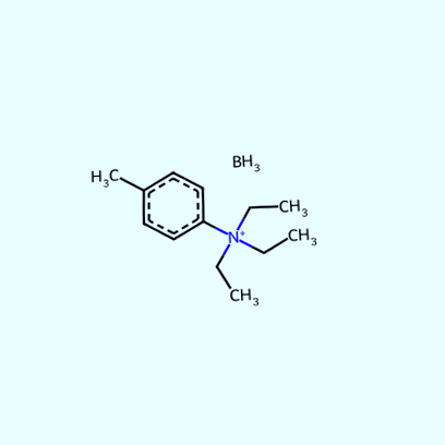 B.CC[N+](CC)(CC)c1ccc(C)cc1